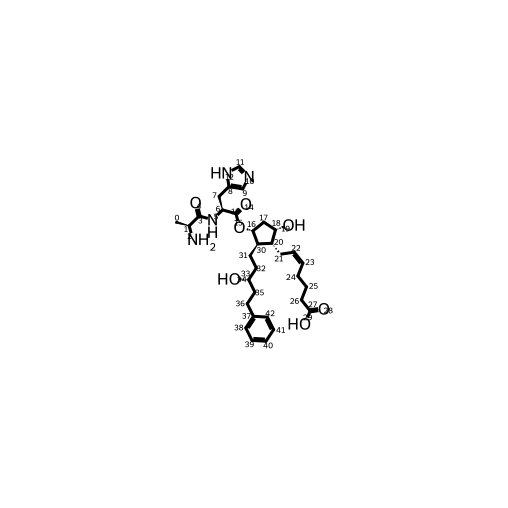 C[C@H](N)C(=O)N[C@@H](Cc1cnc[nH]1)C(=O)O[C@@H]1C[C@H](O)[C@H](C/C=C\CCCC(=O)O)[C@H]1CC[C@@H](O)CCc1ccccc1